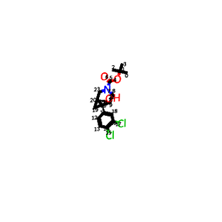 CC(C)(C)OC(=O)N1CC[C@]2(c3ccc(Cl)c(Cl)c3)C[C@]2(CO)C1